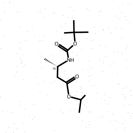 CC(C)OC(=O)C[C@H](C)NC(=O)OC(C)(C)C